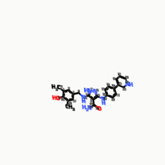 Cc1cc(CNc2[nH]nc(Nc3ccc(C4=CC=CNC4)cc3)c2C(N)=O)cc(C)c1O